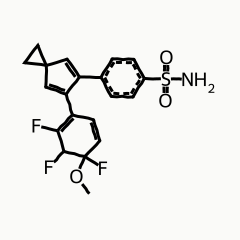 COC1(F)C=CC(C2=CC3(C=C2c2ccc(S(N)(=O)=O)cc2)CC3)=C(F)C1F